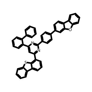 c1ccc(-c2ccccc2-c2cc(-c3cccc4c3sc3ccccc34)nc(-c3ccc(-c4ccc5c(c4)oc4ccccc45)cc3)n2)cc1